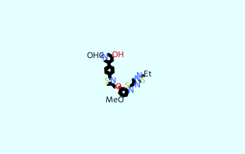 CCc1nn2cc(-c3nc4cc(OC)cc(OCc5csc(-c6ccc(C7CC(O)CN(C=O)C7)cc6)n5)c4s3)nc2s1